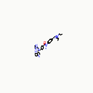 CCCN(CCC)Cc1ccc(NC(=O)c2ccc(CN(Cc3ncc[nH]3)Cc3ccnc4ccccc34)cc2)cc1